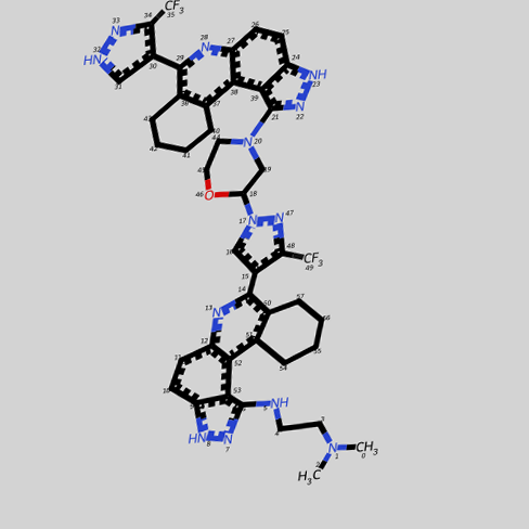 CN(C)CCNc1n[nH]c2ccc3nc(-c4cn(C5CN(c6n[nH]c7ccc8nc(-c9c[nH]nc9C(F)(F)F)c9c(c8c67)CCCC9)CCO5)nc4C(F)(F)F)c4c(c3c12)CCCC4